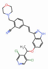 CC(Oc1ccc2[nH]nc(/C=C/c3ccc(CN4CCOCC4)c(C#N)c3)c2c1)c1c(Cl)cncc1Cl